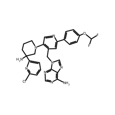 Nc1ncnc2c1ncn2Cc1cc(-c2ccc(OC(F)F)cc2)ncc1N1CCCC(N)(c2cccc(Cl)n2)C1